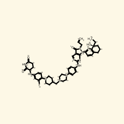 C=CCn1c(=O)c2cnc(Nc3ccc(N4CCN(CC5CCN(c6ccc(NC7CCC(=O)NC7=O)cc6F)CC5)CC4)cc3)nc2n1-c1ccc2c(n1)[C@](O)(CC)CCC2